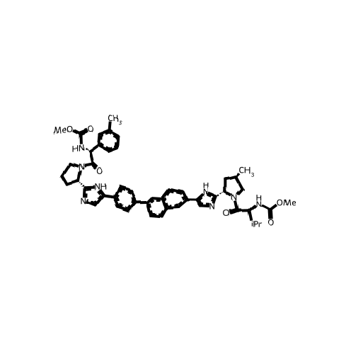 COC(=O)NC(C(=O)N1C[C@H](C)C[C@H]1c1ncc(-c2ccc3cc(-c4ccc(-c5cnc([C@@H]6CCCN6C(=O)[C@H](NC(=O)OC)c6cccc(C)c6)[nH]5)cc4)ccc3c2)[nH]1)C(C)C